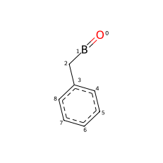 O=BCc1ccccc1